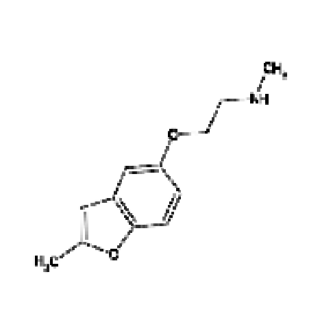 CNCCOc1ccc2oc(C)cc2c1